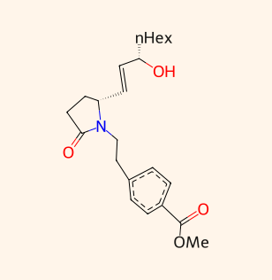 CCCCCC[C@H](O)C=C[C@H]1CCC(=O)N1CCc1ccc(C(=O)OC)cc1